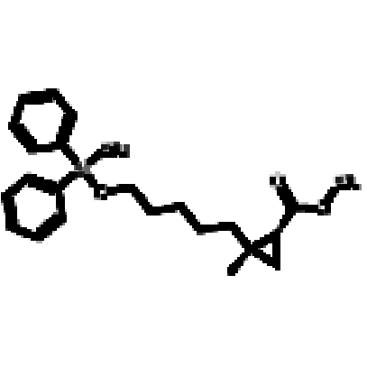 CC(C)(C)OC(=O)[C@H]1C[C@]1(C)CCCCCO[Si](c1ccccc1)(c1ccccc1)C(C)(C)C